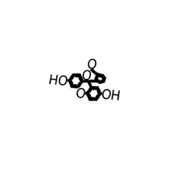 O=C1OC2(c3ccc(O)cc3Oc3ccc(O)cc32)c2ccccc21